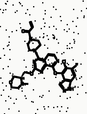 C=CC(=O)N1CCN(c2nc(OC[C@H]3COCCN3C)nc3c(Oc4c(Cl)c(F)cc5[nH]ncc45)nccc23)CC1